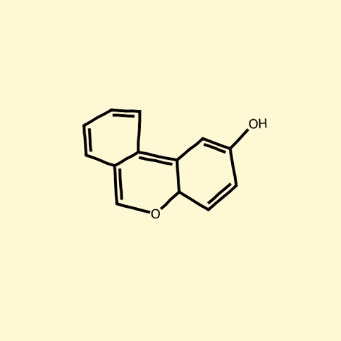 OC1=CC2=c3ccccc3=COC2C=C1